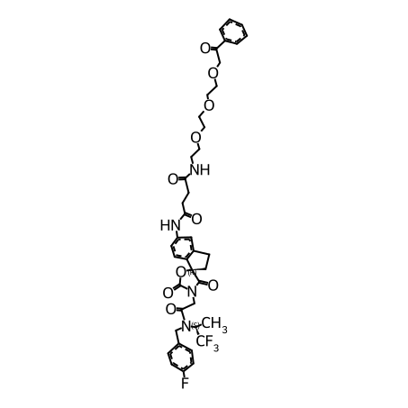 C[C@H](N(Cc1ccc(F)cc1)C(=O)CN1C(=O)O[C@@]2(CCc3cc(NC(=O)CCC(=O)NCCOCCOCCOCC(=O)c4ccccc4)ccc32)C1=O)C(F)(F)F